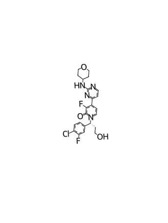 O=c1c(F)c(-c2ccnc(NC3CCOCC3)n2)ccn1[C@H](CCO)c1ccc(Cl)c(F)c1